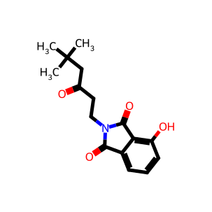 CC(C)(C)CC(=O)CCN1C(=O)c2cccc(O)c2C1=O